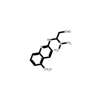 CN(C)C(CC=O)Nc1ccc2c(C(=O)O)cccc2n1